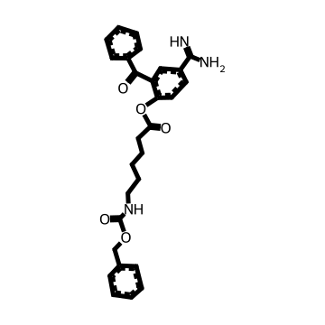 N=C(N)c1ccc(OC(=O)CCCCCNC(=O)OCc2ccccc2)c(C(=O)c2ccccc2)c1